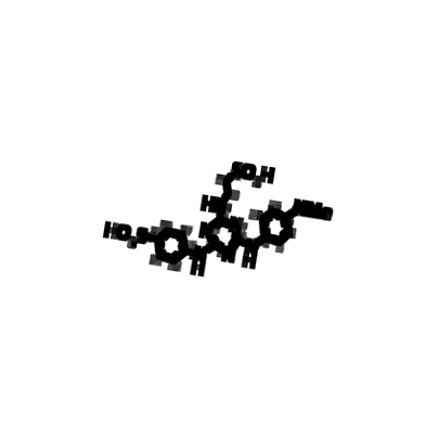 CNc1ccc(Nc2nc(NCCS(=O)(=O)O)nc(Nc3ccc(S(=O)(=O)O)cc3)n2)cc1